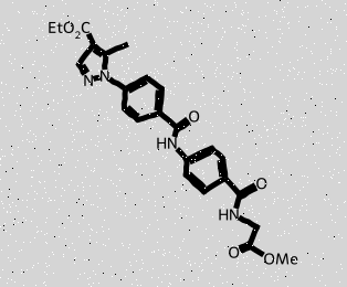 CCOC(=O)c1cnn(-c2ccc(C(=O)Nc3ccc(C(=O)NCC(=O)OC)cc3)cc2)c1C